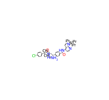 CC(C)[Si](C(C)C)(C(C)C)n1ccc2c(NC(=O)c3ccc(C(N)CNC(=O)C(C)(C)c4ccc(Cl)cc4)cc3)ccnc21